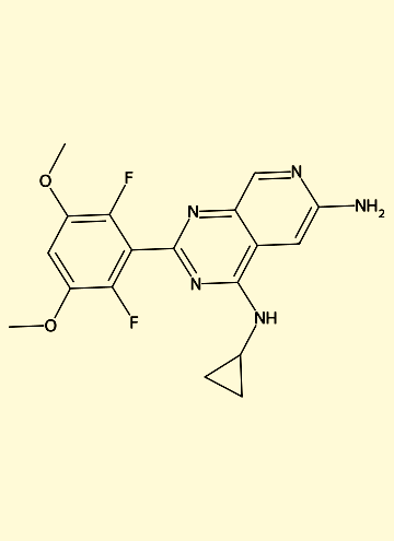 COc1cc(OC)c(F)c(-c2nc(NC3CC3)c3cc(N)ncc3n2)c1F